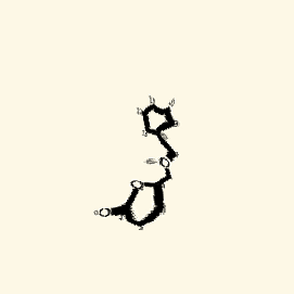 O=C1CC=C(COCc2ccccc2)O1